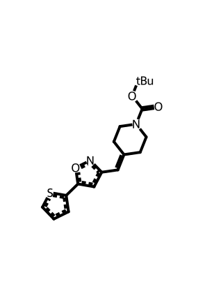 CC(C)(C)OC(=O)N1CCC(=Cc2cc(-c3cccs3)on2)CC1